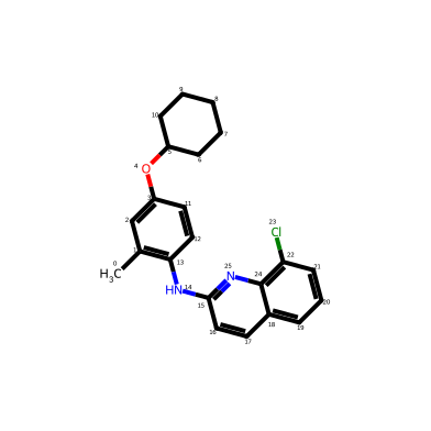 Cc1cc(OC2CCCCC2)ccc1Nc1ccc2cccc(Cl)c2n1